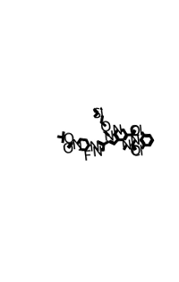 Cn1c(=O)n(-c2c(Cl)cccc2Cl)c(=O)c2cnc3c(cc(-c4cnn([C@@H]5CCN(C(=O)OC(C)(C)C)C[C@H]5F)c4)n3COCC[Si](C)(C)C)c21